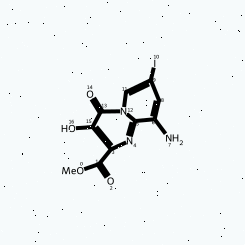 COC(=O)c1nc2c(N)cc(I)cn2c(=O)c1O